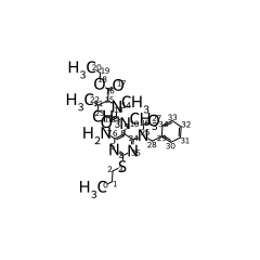 CCCSc1nc(N)c(N(C)C(=O)N(C)C(C(=O)OCC)C(C)C)c(N(C=O)Cc2ccccc2)n1